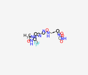 C[C@@H]1CC(=O)Nc2cc(CC(F)(F)F)cc(-c3cccc4cc(-c5ccc(C(=O)NCCC#Cc6cccc7c6CN(C6CCC(=O)NC6=O)C7=O)nc5)ncc34)c2N1